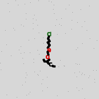 CCCCC(CC)COCCOCCCCCCCl